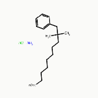 CCCCCCCCCCCCCCCCCC(C)(C)Cc1ccccc1.Cl.N